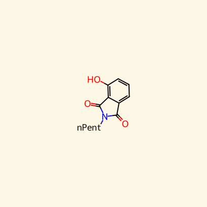 CCCCCN1C(=O)c2cccc(O)c2C1=O